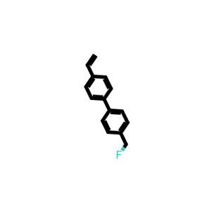 C=Cc1ccc(-c2ccc(CF)cc2)cc1